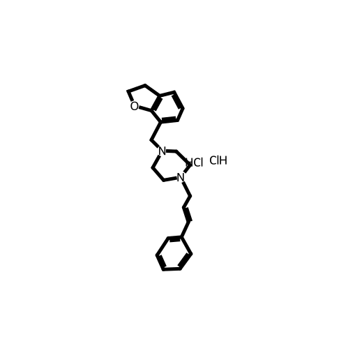 C(=Cc1ccccc1)CN1CCN(Cc2cccc3c2OCC3)CC1.Cl.Cl